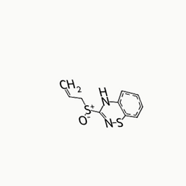 C=CC[S+]([O-])C1=NSc2ccccc2N1